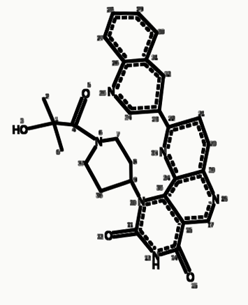 CC(C)(O)C(=O)N1CCC(n2c(=O)[nH]c(=O)c3cnc4ccc(-c5cnc6ccccc6c5)nc4c32)CC1